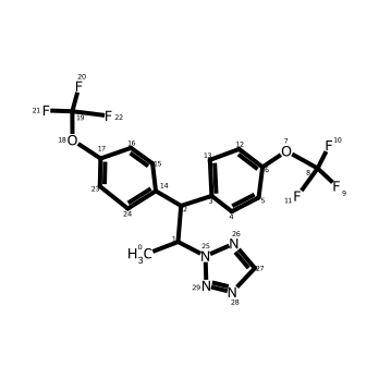 CC(C(c1ccc(OC(F)(F)F)cc1)c1ccc(OC(F)(F)F)cc1)n1ncnn1